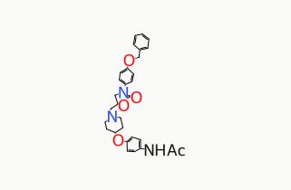 CC(=O)Nc1ccc(OC2CCN(CC3CN(c4ccc(OCc5ccccc5)cc4)C(=O)O3)CC2)cc1